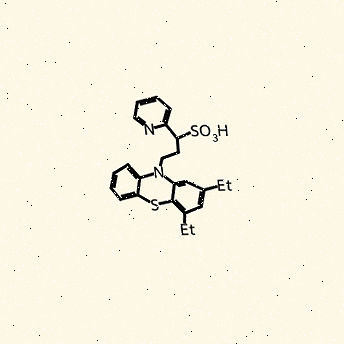 CCc1cc(CC)c2c(c1)N(CCC(c1ccccn1)S(=O)(=O)O)c1ccccc1S2